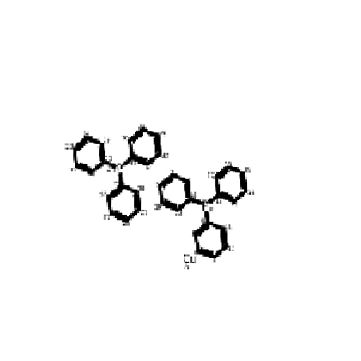 [Cu].c1ccc(P(c2ccccc2)c2ccccc2)cc1.c1ccc(P(c2ccccc2)c2ccccc2)cc1